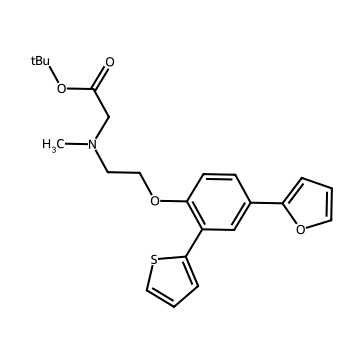 CN(CCOc1ccc(-c2ccco2)cc1-c1cccs1)CC(=O)OC(C)(C)C